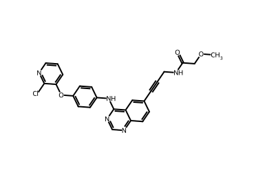 COCC(=O)NCC#Cc1ccc2ncnc(Nc3ccc(Oc4cccnc4Cl)cc3)c2c1